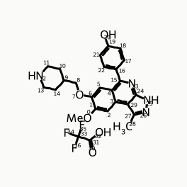 COc1cc2c(cc1OCC1CCNCC1)c(-c1ccc(O)cc1)nc1[nH]nc(C)c12.O=C(O)C(F)(F)F